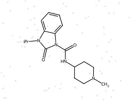 CC(C)n1c(=O)n(C(=O)NC2CCN(C)CC2)c2ccccc21